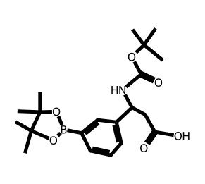 CC(C)(C)OC(=O)NC(CC(=O)O)c1cccc(B2OC(C)(C)C(C)(C)O2)c1